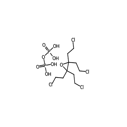 ClCCC1(CCCl)OC1(CCCl)CCCl.O=P(O)(O)OP(=O)(O)O